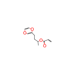 C=CC(=O)OC(C)CCC1=COC=CO1